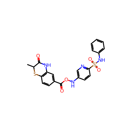 CC1Sc2ccc(C(=O)ONc3ccc(S(=O)(=O)Nc4ccccc4)nc3)cc2NC1=O